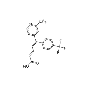 Cc1cc(/C(=C/C=C/C(=O)O)c2ccc(C(F)(F)F)cc2)ccn1